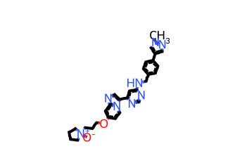 Cn1cc(-c2ccc(CNc3cc(-c4cnc5cc(OCCC[N+]6([O-])CCCC6)ccn45)ncn3)cc2)cn1